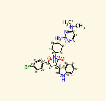 CN(C)c1ccnc(N[C@H]2CC[C@@H](NC(=O)C(CC(=O)c3ccc(Br)cc3)c3c[nH]c4ccccc34)CC2)n1